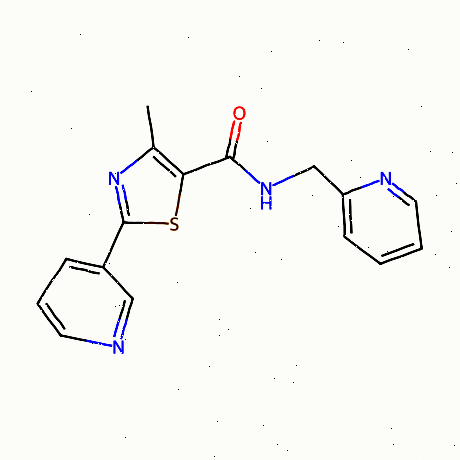 Cc1nc(-c2cccnc2)sc1C(=O)NCc1ccccn1